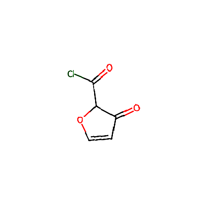 O=C(Cl)C1OC=CC1=O